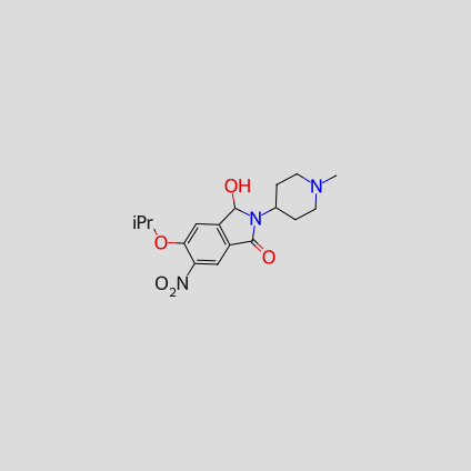 CC(C)Oc1cc2c(cc1[N+](=O)[O-])C(=O)N(C1CCN(C)CC1)C2O